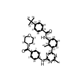 Cc1nc(Nc2ccc(C(=O)N3CCOCC3)cc2)nc(-c2cccc(NC(=O)c3ccc(C(C)(C)C)cc3)c2C)n1